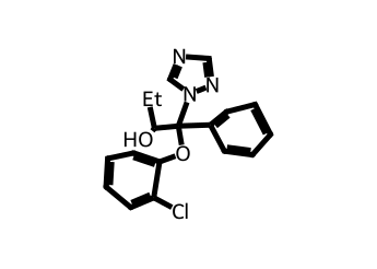 CCC(O)C(Oc1ccccc1Cl)(c1ccccc1)n1cncn1